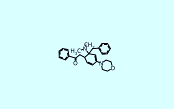 CN(C)C1(Cc2ccccc2)C=C(N2CCOCC2)C=CC1CC(=O)c1ccccc1